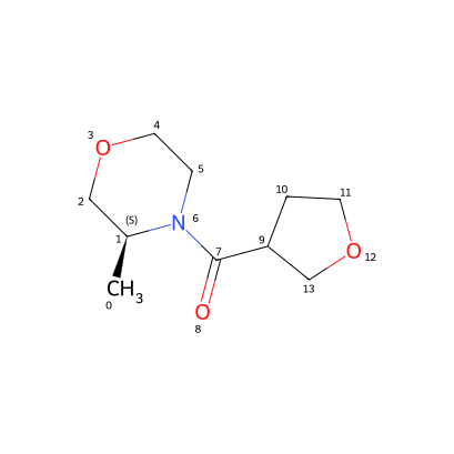 C[C@H]1COCCN1C(=O)C1CCOC1